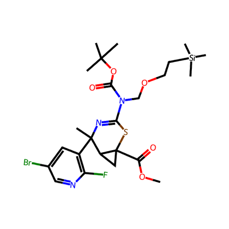 COC(=O)C12CC1C(C)(c1cc(Br)cnc1F)N=C(N(COCC[Si](C)(C)C)C(=O)OC(C)(C)C)S2